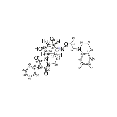 Cc1cc2c(nc1C)CCCN2CC(C)O/N=C1/[C@H]2CCn3c(=O)n(-c4ccccc4)c(=O)n3[C@H]2[C@H](O)[C@@H]2O[C@H]12